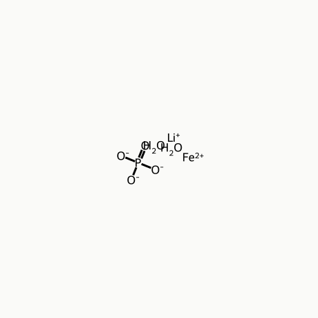 O.O.O=P([O-])([O-])[O-].[Fe+2].[Li+]